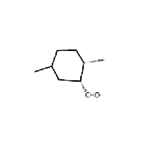 CC1CC[C@H](C)[C@H]([C]=O)C1